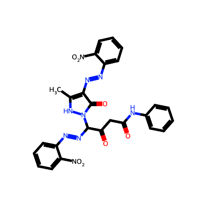 Cc1[nH]n(C(N=Nc2ccccc2[N+](=O)[O-])C(=O)CC(=O)Nc2ccccc2)c(=O)c1N=Nc1ccccc1[N+](=O)[O-]